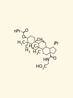 CCCC(=O)O[C@H]1CC[C@@]2(C)C(CC[C@]3(C)C2CCC2C4[C@H](C(C)C)CC[C@]4(C(=O)NCC(=O)O)CC[C@]23C)C1(C)C